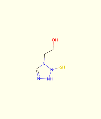 OCCN1C=NNN1S